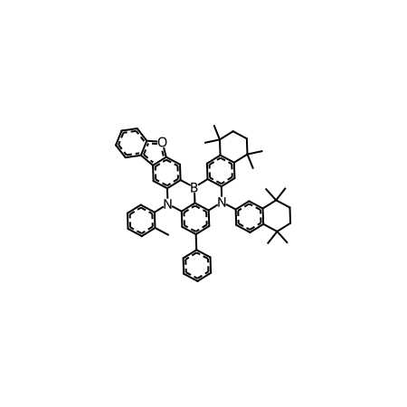 Cc1ccccc1N1c2cc3c(cc2B2c4cc5c(cc4N(c4ccc6c(c4)C(C)(C)CCC6(C)C)c4cc(-c6ccccc6)cc1c42)C(C)(C)CCC5(C)C)oc1ccccc13